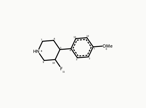 COc1ccc(C2CCNCC2F)cc1